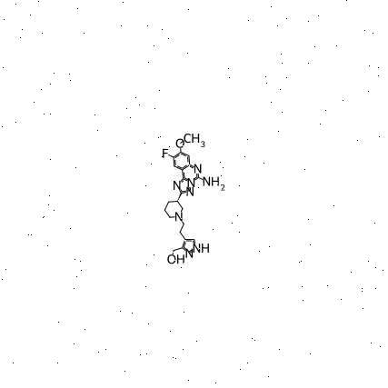 COc1cc2nc(N)n3nc([C@@H]4CCCN(CCc5c[nH]nc5CO)C4)nc3c2cc1F